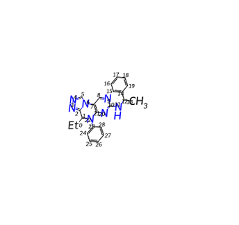 CCC1c2nncn2-c2cnc(NC(C)c3ccccc3)nc2N1c1ccccc1